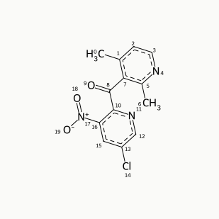 Cc1ccnc(C)c1C(=O)c1ncc(Cl)cc1[N+](=O)[O-]